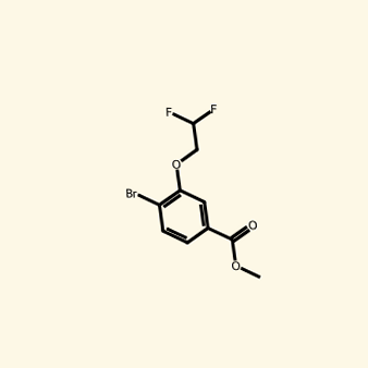 COC(=O)c1ccc(Br)c(OCC(F)F)c1